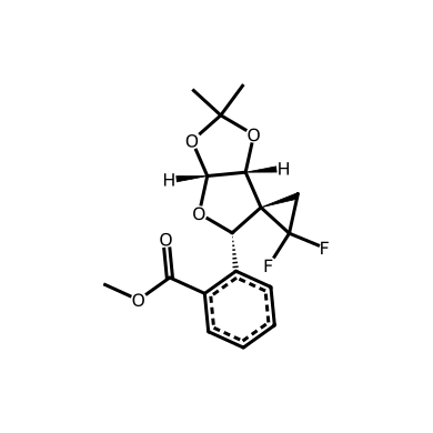 COC(=O)c1ccccc1[C@@H]1O[C@@H]2OC(C)(C)O[C@@H]2[C@@]12CC2(F)F